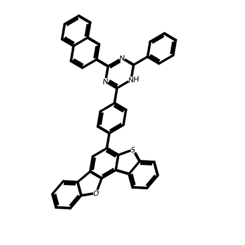 c1ccc(C2N=C(c3ccc4ccccc4c3)N=C(c3ccc(-c4cc5c6ccccc6oc5c5c4sc4ccccc45)cc3)N2)cc1